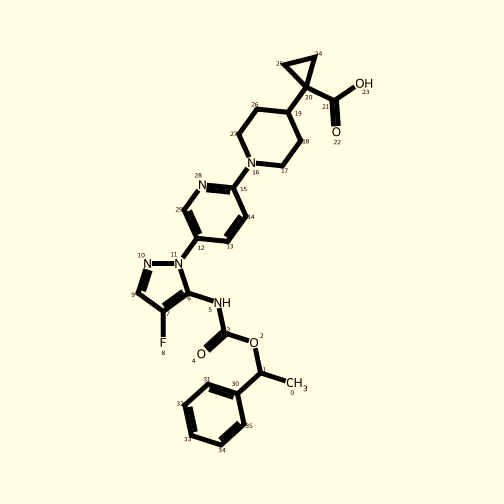 CC(OC(=O)Nc1c(F)cnn1-c1ccc(N2CCC(C3(C(=O)O)CC3)CC2)nc1)c1ccccc1